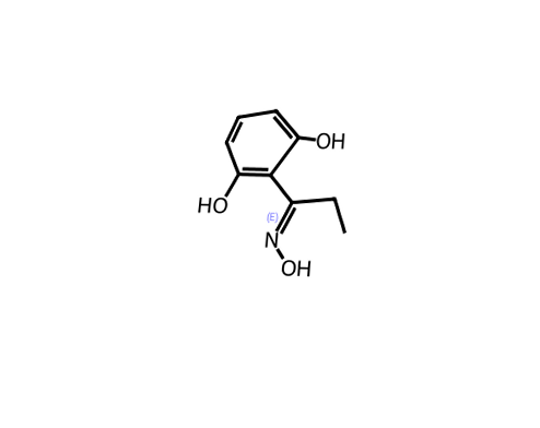 CC/C(=N\O)c1c(O)cccc1O